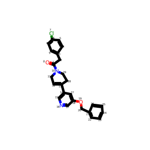 O=C(Cc1ccc(Cl)cc1)N1CC=C(c2cncc(OCc3ccccc3)c2)CC1